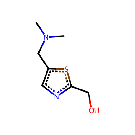 CN(C)Cc1cnc(CO)s1